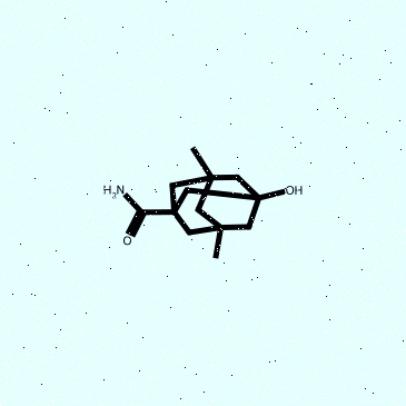 CC12CC3(C)CC(O)(C1)CC(C(N)=O)(C2)C3